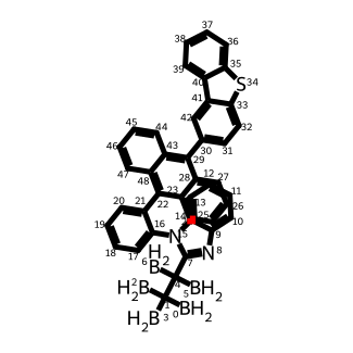 BC(B)(B)C(B)(B)c1nc2ccccc2n1-c1ccccc1-c1c2ccccc2c(-c2ccc3sc4ccccc4c3c2)c2ccccc12